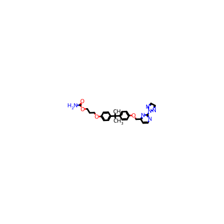 CC(C)(c1ccc(OCCCOC(N)=O)cc1)c1ccc(OCc2ccnc(-n3nccn3)n2)cc1